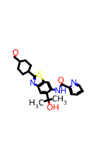 CC(C)(O)c1cc2nc(C3CCC(C=O)CC3)sc2cc1NC(=O)c1ccccn1